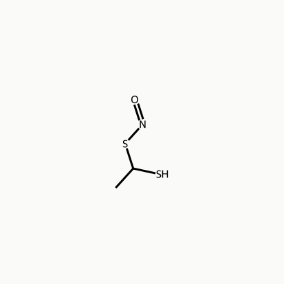 CC(S)SN=O